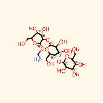 NCO[C@H]1OC(CO)[C@@H](O)[C@H](O)C1O[C@H]1OC(CO)[C@@H](O[C@@H]2OC(CO)[C@@H](O)[C@H](O)C2O)[C@H](O)C1O